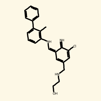 Cc1c(N/C=C2/C=C(CNCCO)C=C(Cl)C2=N)cccc1-c1ccccc1